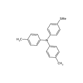 CSc1ccc(N(c2ccc(C)cc2)c2ccc(C)cc2)cc1